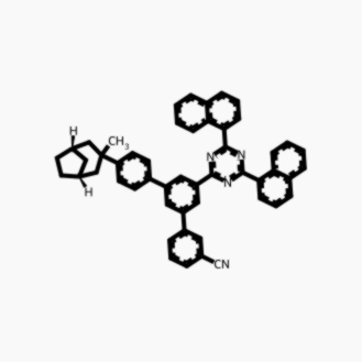 CC1(c2ccc(-c3cc(-c4cccc(C#N)c4)cc(-c4nc(-c5cccc6ccccc56)nc(-c5cccc6ccccc56)n4)c3)cc2)C[C@@H]2CC[C@@H](C2)C1